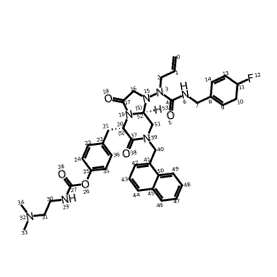 C=CCN(C(=O)NCC1=CCC(F)C=C1)N1CC(=O)N2[C@@H](Cc3ccc(OC(=O)NCCN(C)C)cc3)C(=O)N(Cc3cccc4ccccc34)C[C@@H]21